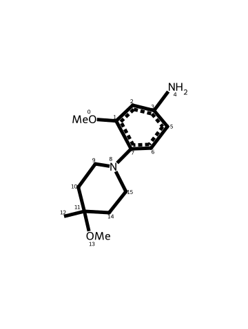 COc1cc(N)ccc1N1CCC(C)(OC)CC1